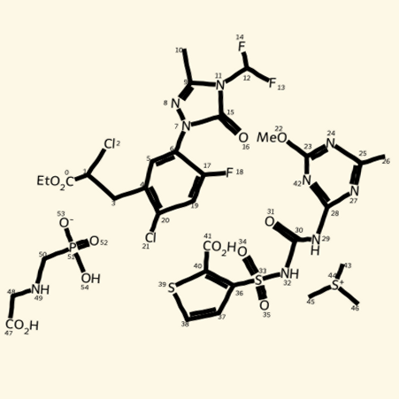 CCOC(=O)C(Cl)Cc1cc(-n2nc(C)n(C(F)F)c2=O)c(F)cc1Cl.COc1nc(C)nc(NC(=O)NS(=O)(=O)c2ccsc2C(=O)O)n1.C[S+](C)C.O=C(O)CNCP(=O)([O-])O